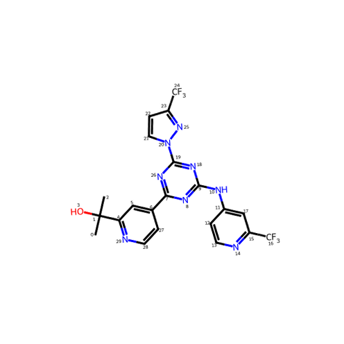 CC(C)(O)c1cc(-c2nc(Nc3ccnc(C(F)(F)F)c3)nc(-n3ccc(C(F)(F)F)n3)n2)ccn1